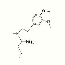 C[CH]CC(N)N(C)CCc1ccc(OC)c(OC)c1